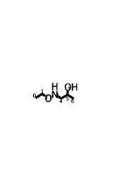 CCONCC(C)O